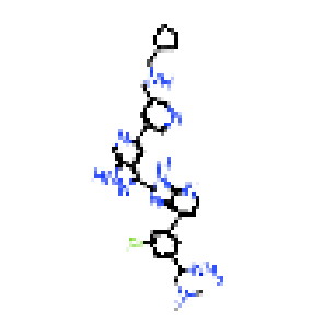 CN(C)CC(N)c1cc(F)cc(-c2ccnc3[nH]c(-c4n[nH]c5cnc(-c6cncc(CNCC7CCCC7)c6)cc45)nc23)c1